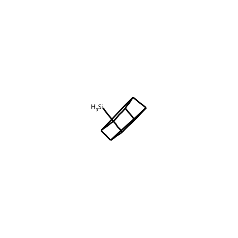 [SiH3]C12C3C4C5C3C1C5C42